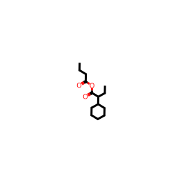 CCCC(=O)OC(=O)C(CC)C1CCCCC1